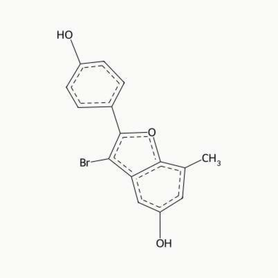 Cc1cc(O)cc2c(Br)c(-c3ccc(O)cc3)oc12